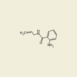 C=CCNC(=O)c1ccccc1N